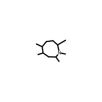 CC1CCC(C)N(C)C(C)CC1C